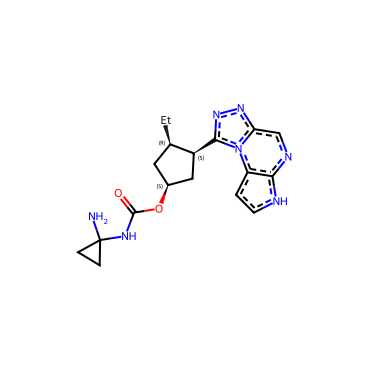 CC[C@@H]1C[C@H](OC(=O)NC2(N)CC2)C[C@@H]1c1nnc2cnc3[nH]ccc3n12